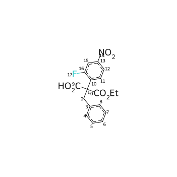 CCOC(=O)C(Cc1ccccc1)(C(=O)O)c1ccc([N+](=O)[O-])cc1F